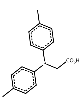 Cc1ccc(P(CC(=O)O)c2ccc(C)cc2)cc1